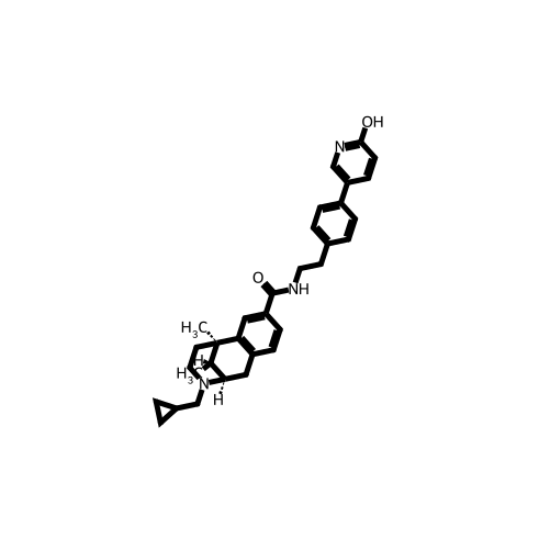 C[C@H]1[C@H]2Cc3ccc(C(=O)NCCc4ccc(-c5ccc(O)nc5)cc4)cc3[C@]1(C)CCN2CC1CC1